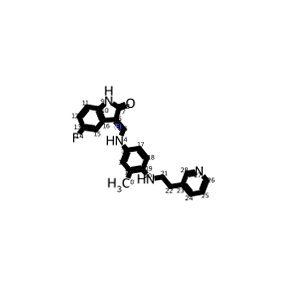 Cc1cc(N/C=C2/C(=O)Nc3ccc(F)cc32)ccc1NCCc1cccnc1